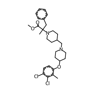 COC(=O)C(C)(Cc1ccccc1)N1CCC(CN2CCC(Oc3ccc(Cl)c(Cl)c3C)CC2)CC1